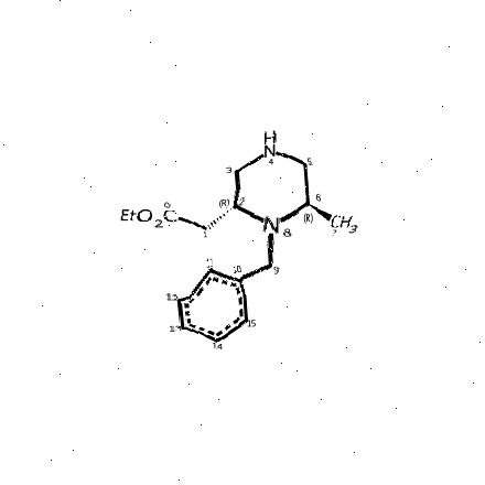 CCOC(=O)C[C@@H]1CNC[C@@H](C)N1Cc1ccccc1